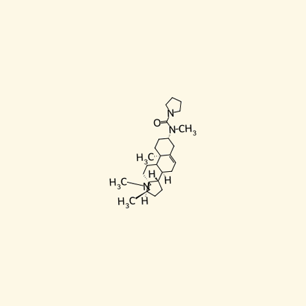 C[C@H]1[C@H]2CC[C@H]3[C@@H]4CC=C5C[C@@H](N(C)C(=O)N6CCCC6)CC[C@]5(C)C4CC[C@]23CN1C